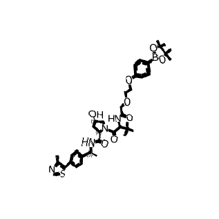 Cc1ncsc1-c1ccc([C@H](C)NC(=O)[C@H]2C[C@H](O)CN2C(=O)C(NC(=O)COCCOc2ccc(B3OC(C)(C)C(C)(C)O3)cc2)C(C)(C)C)cc1